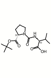 CC(C)[C@H](NC(=O)N1CCC[C@H]1C(=O)OC(C)(C)C)C(=O)O